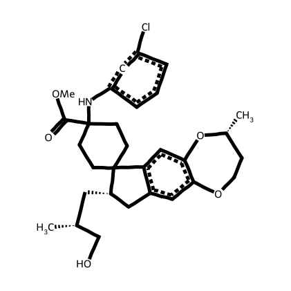 COC(=O)C1(Nc2cccc(Cl)c2)CCC2(CC1)c1cc3c(cc1C[C@@H]2C[C@@H](C)CO)OCC[C@@H](C)O3